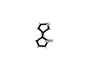 C1CNC(C2CCSC2)C1